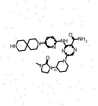 CN1CCN([C@@H]2CCCN(c3cnc(C(N)=O)c(Nc4ccc(N5CCC6(CCNCC6)CC5)cn4)n3)C2)C1=O